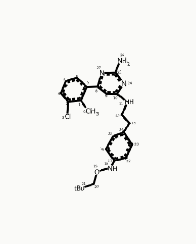 Cc1c(Cl)cccc1-c1cc(NCCc2ccc(NOCC(C)(C)C)cc2)nc(N)n1